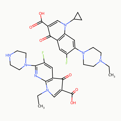 CCN1CCN(c2cc3c(cc2F)c(=O)c(C(=O)O)cn3C2CC2)CC1.CCn1cc(C(=O)O)c(=O)c2cc(F)c(N3CCNCC3)nc21